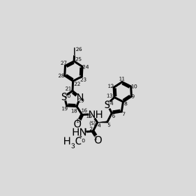 CNC(=O)[C@H](Cc1cc2ccccc2s1)NC(=O)c1csc(-c2ccc(I)cc2)n1